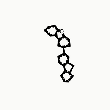 c1ccc2c(c1)Cc1cc(-c3ccc4oc5ccccc5c4c3)ccc1-2